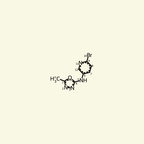 Cc1nnc(Nc2ccc(Br)nc2)o1